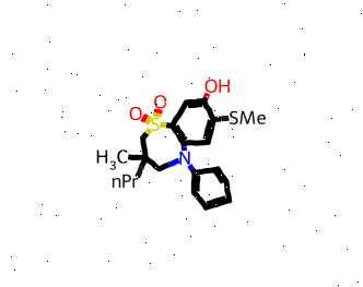 CCCC1(C)CN(c2ccccc2)c2cc(SC)c(O)cc2S(=O)(=O)C1